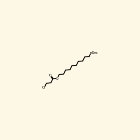 CCCCCCCCCCCCCCCCCCCCOC(=O)CCCl